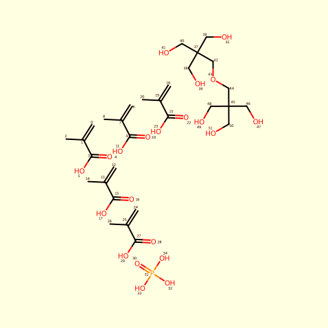 C=C(C)C(=O)O.C=C(C)C(=O)O.C=C(C)C(=O)O.C=C(C)C(=O)O.C=C(C)C(=O)O.O=P(O)(O)O.OCC(CO)(CO)COCC(CO)(CO)CO